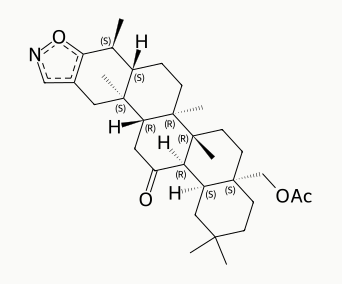 CC(=O)OC[C@]12CCC(C)(C)C[C@H]1[C@H]1C(=O)C[C@@H]3[C@@]4(C)Cc5cnoc5[C@@H](C)[C@@H]4CC[C@@]3(C)[C@]1(C)CC2